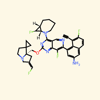 C#Cc1c(F)ccc2cc(N)cc(-c3ncc4c(N5CCCC[C@H]6[C@H](F)[C@H]65)nc(OC[C@]56C/C(=C/F)CN5CCC65CC5)nc4c3F)c12